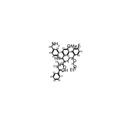 CCOCO[C@@H](CC[C@@H](C(=O)N(C)[C@@H](C)[C@@H](O)c1ccccc1)C(Nc1ccc(CN)cc1)c1ccc(OC)cc1)c1ccc(F)cc1